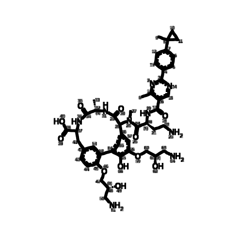 Cc1nc(-c2ccc(C3(C)CC3)cc2)ncc1C(=O)N[C@@H](CCN)C(=O)N(C)C1C(=O)N[C@@H](C)C(=O)NC(C(=O)O)Cc2ccc(OC[C@H](O)CN)c(c2)-c2cc1cc(OC[C@H](O)CN)c2O